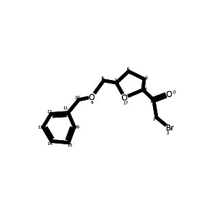 O=C(CBr)C1CCC(COCc2ccccc2)O1